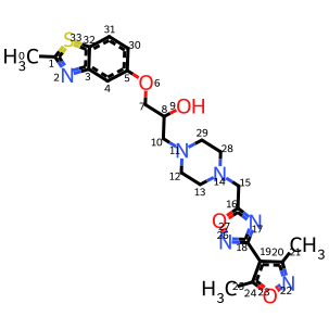 Cc1nc2cc(OCC(O)CN3CCN(Cc4nc(-c5c(C)noc5C)no4)CC3)ccc2s1